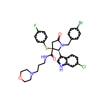 O=C1C[C@@](Sc2ccc(F)cc2)(C(=O)NCCCN2CCOCC2)[C@H](c2c[nH]c3cc(Cl)ccc23)N1Cc1ccc(Br)cc1